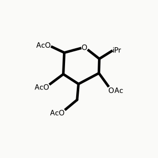 CC(=O)OCC1C(OC(C)=O)C(OC(C)=O)OC(C(C)C)C1OC(C)=O